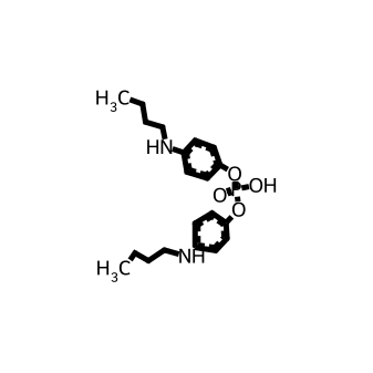 CCCCNc1ccc(OP(=O)(O)Oc2ccc(NCCCC)cc2)cc1